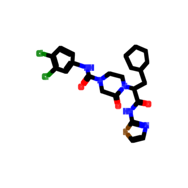 O=C(Nc1nccs1)C(CC1CCCCC1)N1CCN(C(=O)Nc2ccc(Cl)c(Cl)c2)CC1=O